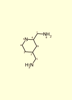 NC[C]1CC[N]C(CN)C1